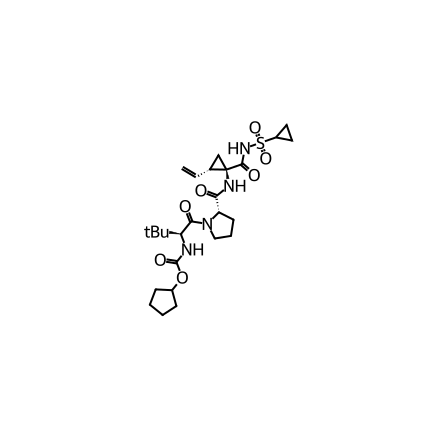 C=C[C@@H]1C[C@]1(NC(=O)[C@@H]1CCCN1C(=O)[C@@H](NC(=O)OC1CCCC1)C(C)(C)C)C(=O)NS(=O)(=O)C1CC1